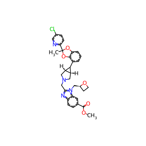 COC(=O)c1ccc2nc(CN3C[C@@H]4C(c5cccc6c5OC(C)(c5ccc(Cl)cn5)O6)[C@@H]4C3)n(C[C@@H]3CCO3)c2c1